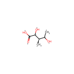 CC(O)[C@@H](C)C(O)C(=O)O